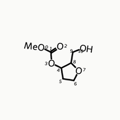 COC(=O)OC1CCOC1CO